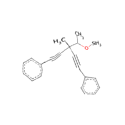 CC(O[SiH3])C(C)(C#Cc1ccccc1)C#Cc1ccccc1